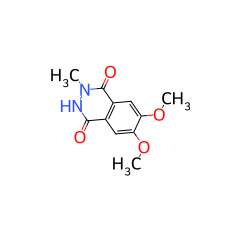 COc1cc2c(=O)[nH]n(C)c(=O)c2cc1OC